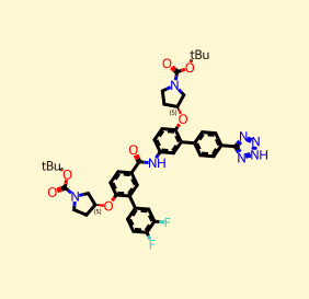 CC(C)(C)OC(=O)N1CC[C@H](Oc2ccc(NC(=O)c3ccc(O[C@H]4CCN(C(=O)OC(C)(C)C)C4)c(-c4ccc(F)c(F)c4)c3)cc2-c2ccc(-c3nn[nH]n3)cc2)C1